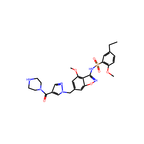 CCc1ccc(OC)c(S(=O)(=O)Nc2noc3cc(Cn4cc(C(=O)N5CCNCC5)cn4)cc(OC)c23)c1